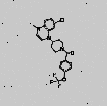 CN1C=CN(C2CCN(C(=O)c3ccc(OC(F)(F)F)cc3)CC2)c2cc(Cl)ccc21